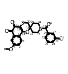 COc1ccc2c(c1)C(=O)C(=O)C1=C2OC2(CCN(C(=O)c3cccc(Cl)c3)CC2)CS1